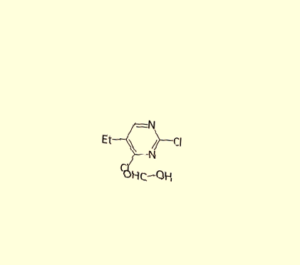 CCc1cnc(Cl)nc1Cl.O=CO